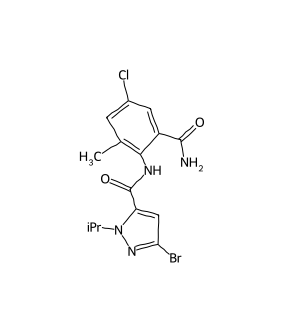 Cc1cc(Cl)cc(C(N)=O)c1NC(=O)c1cc(Br)nn1C(C)C